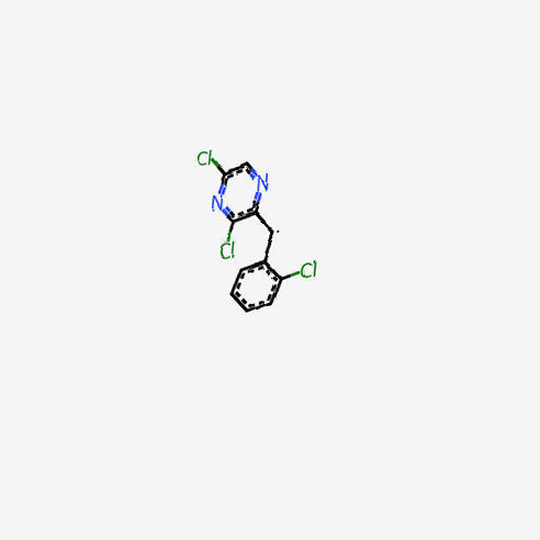 Clc1cnc([CH]c2ccccc2Cl)c(Cl)n1